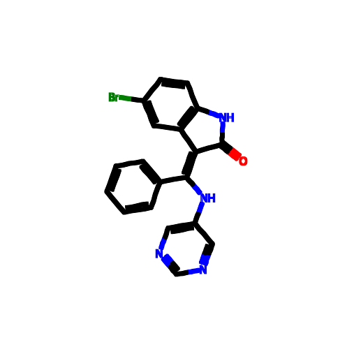 O=C1Nc2ccc(Br)cc2/C1=C(/Nc1cncnc1)c1ccccc1